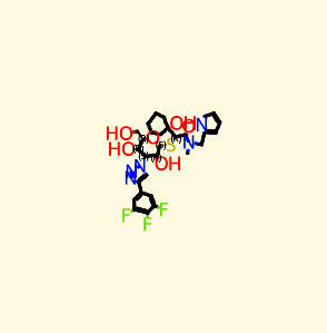 CN(Cc1ccccn1)C(=O)[C@H](S[C@@H]1O[C@H](CO)[C@H](O)[C@H](n2cc(-c3cc(F)c(F)c(F)c3)nn2)[C@H]1O)C1(O)CCCCC1